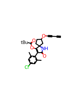 C#CC#COC1CCC2(C1)NC(=O)C(c1c(C)cc(Cl)cc1C)=C2OC(=O)C(C)(C)C